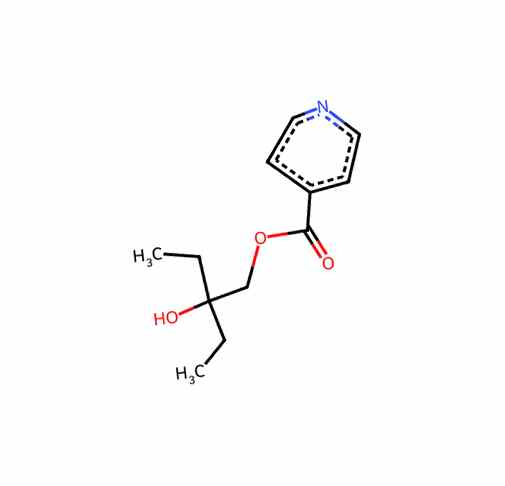 CCC(O)(CC)COC(=O)c1ccncc1